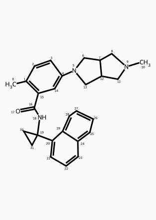 Cc1ccc(N2CC3CN(C)CC3C2)cc1C(=O)NC1(c2cccc3ccccc23)CC1